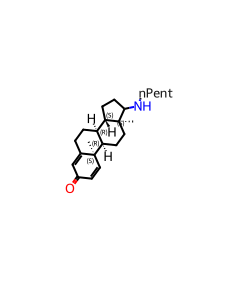 CCCCCNC1CC[C@H]2[C@@H]3CCC4=CC(=O)C=C[C@]4(C)[C@@H]3CC[C@]12C